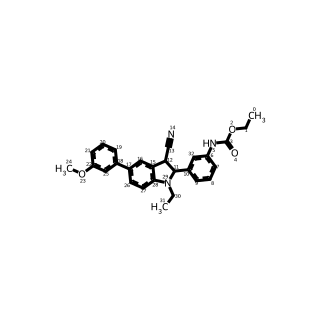 CCOC(=O)Nc1cccc(C2C(C#N)c3cc(-c4cccc(OC)c4)ccc3N2CC)c1